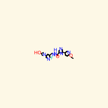 CCOc1ccc(-c2cncc(C(=O)N/N=C/c3cc(N4CC(O)C4)cnc3F)n2)cn1